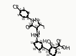 CC1=NN(c2ccc(Cl)cc2)C(=O)C1=NNc1cccc(-c2cccc(C(=O)O)c2O)c1